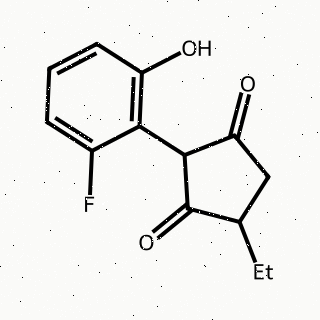 CCC1CC(=O)C(c2c(O)cccc2F)C1=O